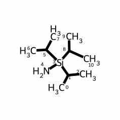 CC(C)[Si](N)(C(C)C)C(C)C